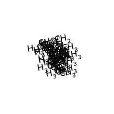 C=C(C)C(=O)OCCC[Si]([Si](C)(C)O[Si](C)(C)O[Si](C)(C)O[Si](C)(C)C)([Si](C)(C)O[Si](C)(C)O[Si](C)(C)O[Si](C)(C)C)[Si](C)(C)O[Si](C)(C)O[Si](C)(C)O[Si](C)(C)C